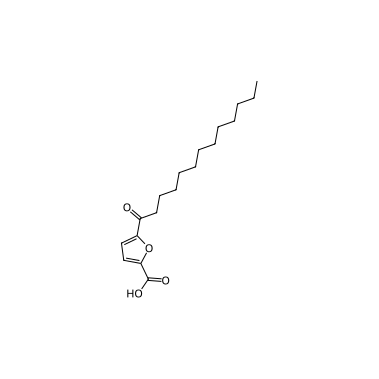 CCCCCCCCCCCCC(=O)c1ccc(C(=O)O)o1